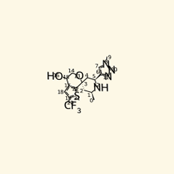 C[C@H]1C[C@@]2(C[C@@H](c3cn(C)nn3)N1)OC[C@H](O)c1cc(C(F)(F)F)sc12